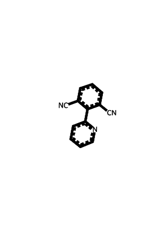 N#Cc1cccc(C#N)c1-c1ccccn1